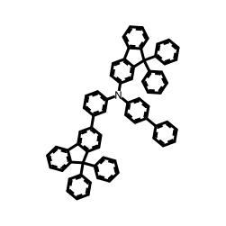 c1ccc(-c2ccc(N(c3cccc(-c4ccc5c(c4)-c4ccccc4C5(c4ccccc4)c4ccccc4)c3)c3ccc4c(c3)C(c3ccccc3)(c3ccccc3)c3ccccc3-4)cc2)cc1